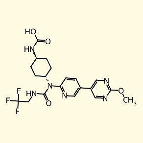 COc1ncc(-c2ccc(N(C(=O)NCC(F)(F)F)[C@H]3CC[C@H](NC(=O)O)CC3)nc2)cn1